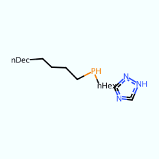 CCCCCCCCCCCCCCPCCCCCC.c1nc[nH]n1